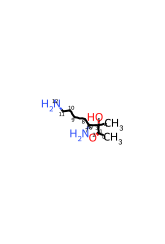 CC(=O)C(C)(O)[C@@H](N)CCCCN